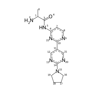 CC(N)C(=O)Nc1ccnc(-c2cnc(N3CCCC3)nc2)n1